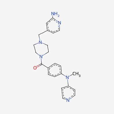 CN(c1ccncc1)c1ccc(C(=O)N2CCN(Cc3ccnc(N)c3)CC2)cc1